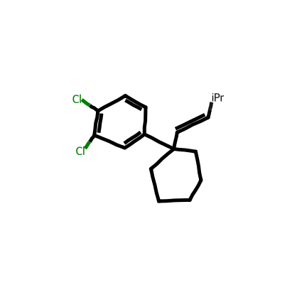 CC(C)/C=C/C1(c2ccc(Cl)c(Cl)c2)CCCCC1